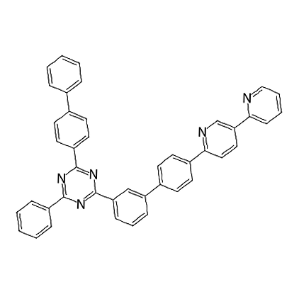 c1ccc(-c2ccc(-c3nc(-c4ccccc4)nc(-c4cccc(-c5ccc(-c6ccc(-c7ccccn7)cn6)cc5)c4)n3)cc2)cc1